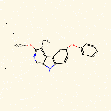 Cc1c(OC(=O)O)ncc2[nH]c3ccc(Oc4ccccc4)cc3c12